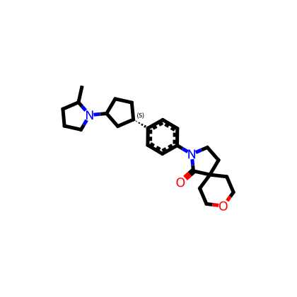 CC1CCCN1C1CC[C@H](c2ccc(N3CCC4(CCOCC4)C3=O)cc2)C1